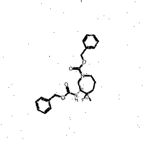 C[C@]1(F)CCCN(C(=O)OCc2ccccc2)C[C@H]1NC(=O)OCc1ccccc1